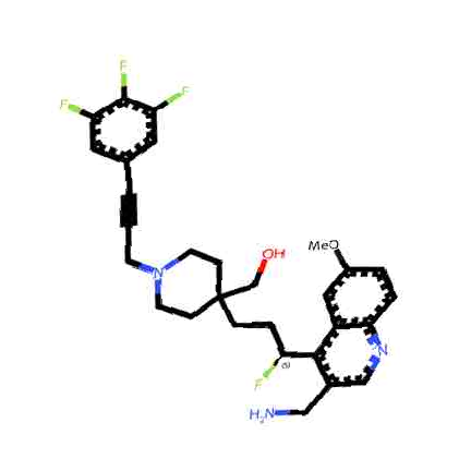 COc1ccc2ncc(CN)c([C@@H](F)CCC3(CO)CCN(CC#Cc4cc(F)c(F)c(F)c4)CC3)c2c1